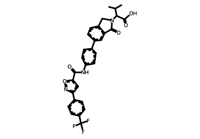 CC(C)C(C(=O)O)N1Cc2ccc(-c3ccc(NC(=O)c4cc(-c5ccc(C(F)(F)F)cc5)no4)cc3)cc2C1=O